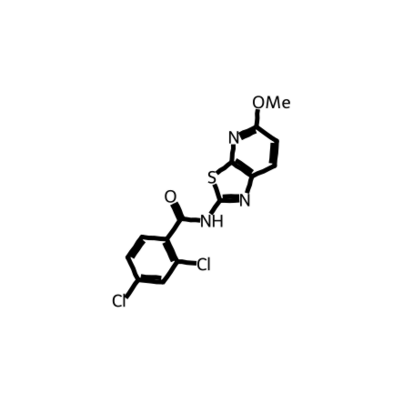 COc1ccc2nc(NC(=O)c3ccc(Cl)cc3Cl)sc2n1